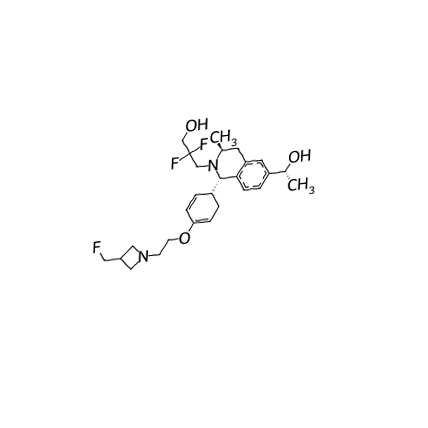 C[C@@H](O)c1ccc2c(c1)C[C@H](C)N(CC(F)(F)CO)[C@H]2C1C=CC(OCCN2CC(CF)C2)=CC1